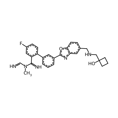 CN(C=N)C(=N)c1cc(F)ccc1-c1cccc(-c2nc3cc(CNCC4(O)CCC4)ccc3o2)c1